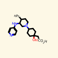 CCCC1CCN(C2CCC(O)(CC(=O)O)CC2)CC1Nc1ccncc1